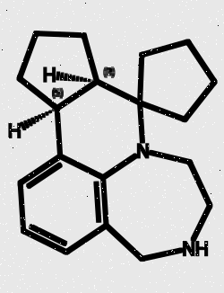 c1cc2c3c(c1)[C@H]1CCC[C@H]1C1(CCCC1)N3CCNC2